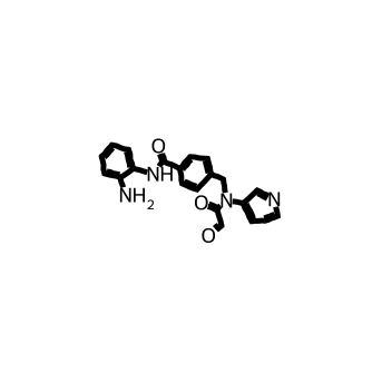 Nc1ccccc1NC(=O)c1ccc(CN(C(=O)C=O)c2cccnc2)cc1